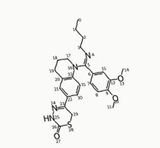 CCCC/N=C(/c1ccc(OC)c(OC)c1)N1CCCc2cc(C3=NNC(=O)SC3)ccc21